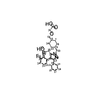 O=C(O)COC[C@H]1CC[C@@H](Cn2nc(-c3ccccc3)c(-c3cccc(F)c3F)c2CCO)CC1